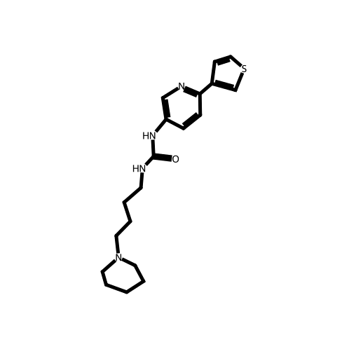 O=C(NCCCCN1CCCCC1)Nc1ccc(-c2ccsc2)nc1